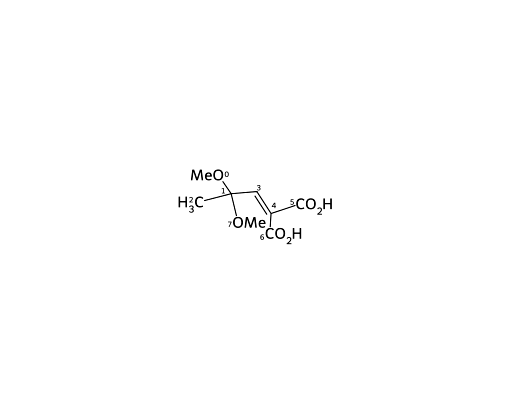 COC(C)(C=C(C(=O)O)C(=O)O)OC